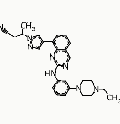 CCN1CCN(c2cccc(Nc3ncc4cccc(-c5cnn(C(C)CC#N)c5)c4n3)c2)CC1